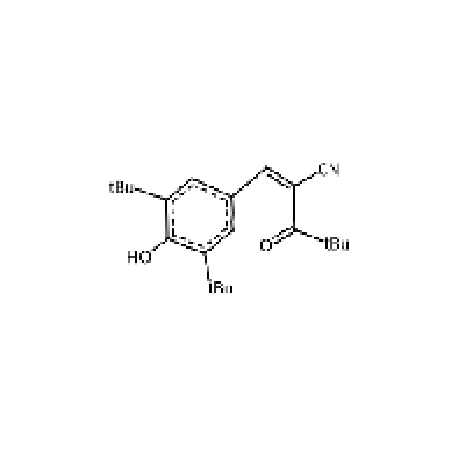 CC(C)(C)C(=O)C(C#N)=Cc1cc(C(C)(C)C)c(O)c(C(C)(C)C)c1